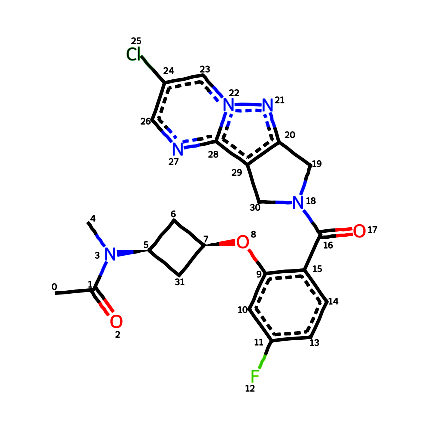 CC(=O)N(C)[C@H]1C[C@@H](Oc2cc(F)ccc2C(=O)N2Cc3nn4cc(Cl)cnc4c3C2)C1